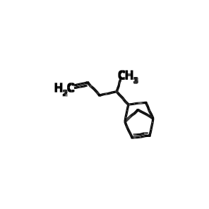 C=CCC(C)C1CC2C=CC1C2